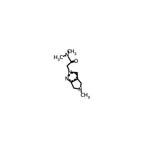 CN1Cc2cn(CC(=O)N(C)C)nc2C1